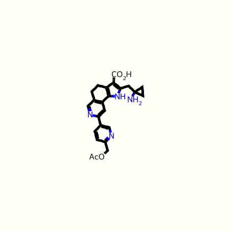 CC(=O)OCc1ccc(-c2cc3c(cn2)CCc2c-3[nH]c(CC3(N)CC3)c2C(=O)O)cn1